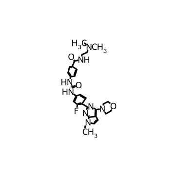 CCn1ccc2c(N3CCOCC3)nc(-c3ccc(NC(=O)Nc4ccc(C(=O)NCCN(C)C)cc4)cc3F)nc21